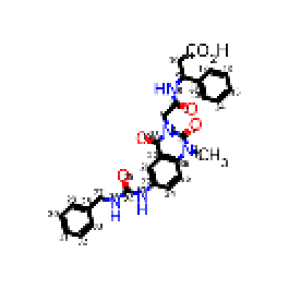 Cn1c(=O)n(CC(=O)NC(CC(=O)O)c2ccccc2)c(=O)c2cc(NC(=O)NCc3ccccc3)ccc21